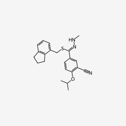 CN/N=C(\SCc1cccc2c1CCC2)c1ccc(OC(C)C)c(C#N)c1